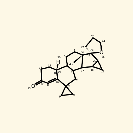 C[C@]12CCC3C(CC4(CC4)C4=CC(=O)CC[C@@H]43)C1C1CC1[C@@]21CCCO1